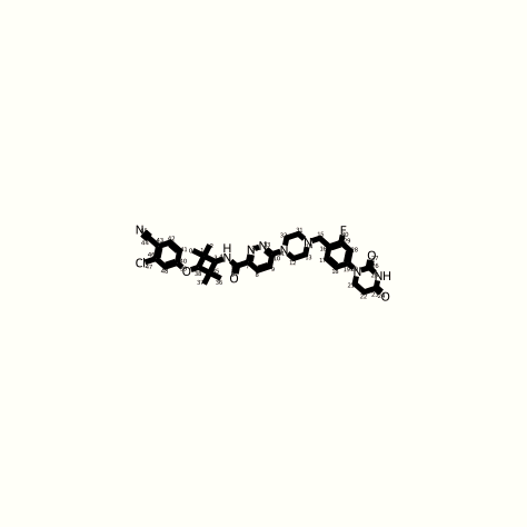 CC1(C)C(NC(=O)c2ccc(N3CCN(Cc4ccc(N5CCC(=O)NC5=O)cc4F)CC3)nn2)C(C)(C)C1Oc1ccc(C#N)c(Cl)c1